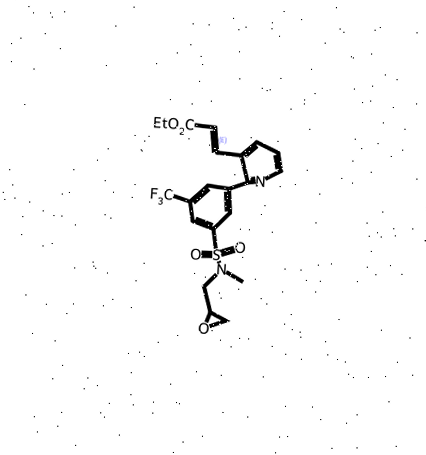 CCOC(=O)/C=C/c1cccnc1-c1cc(C(F)(F)F)cc(S(=O)(=O)N(C)CC2CO2)c1